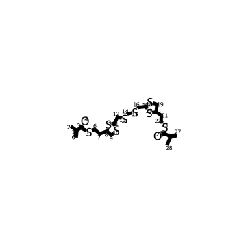 C=C(C)C(=O)SCCC1CSC(CSCSCC2SCC(CCSC(=O)C(=C)C)S2)S1